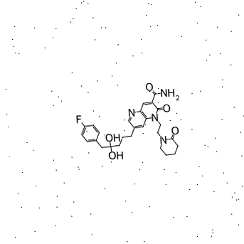 NC(=O)c1cc2ncc(CCCC(O)(O)Cc3ccc(F)cc3)cc2n(CCN2CCCCC2=O)c1=O